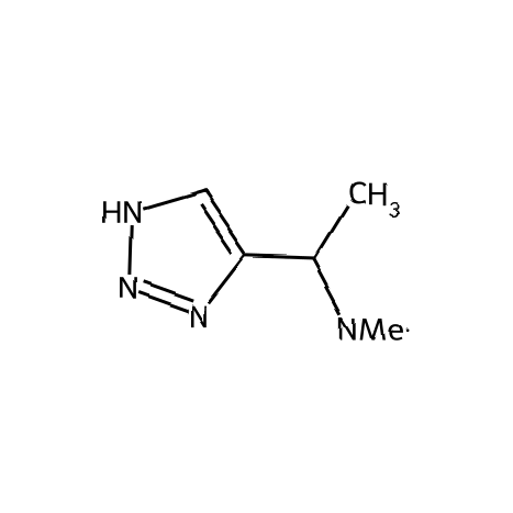 C[N]C(C)c1c[nH]nn1